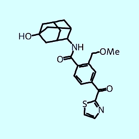 COCc1cc(C(=O)c2nccs2)ccc1C(=O)NC1C2CC3CC1CC(O)(C3)C2